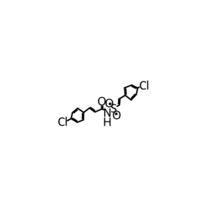 O=C(C=Cc1ccc(Cl)cc1)NS(=O)(=O)C=Cc1ccc(Cl)cc1